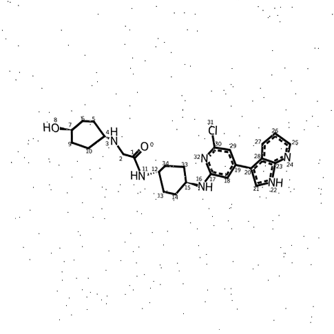 O=C(CN[C@H]1CC[C@H](O)CC1)N[C@H]1CC[C@H](Nc2cc(-c3c[nH]c4ncccc34)cc(Cl)n2)CC1